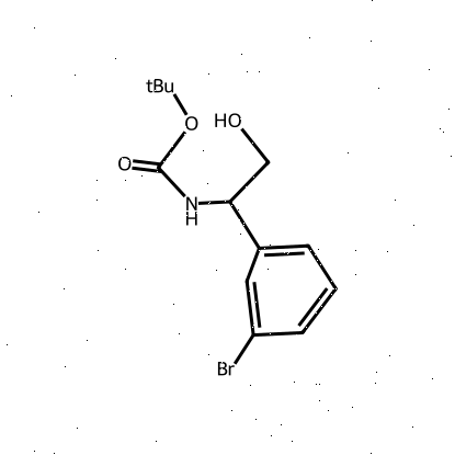 CC(C)(C)OC(=O)NC(CO)c1cccc(Br)c1